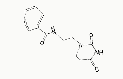 O=C1CCN(CCNC(=O)c2ccccc2)C(=O)N1